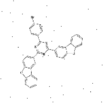 Brc1ccc(-c2nc(-c3ccc4oc5ccccc5c4c3)nc(-c3ccc4oc5ccccc5c4c3)n2)cc1